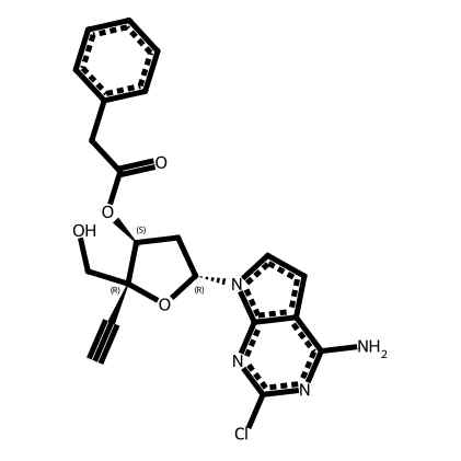 C#C[C@]1(CO)O[C@@H](n2ccc3c(N)nc(Cl)nc32)C[C@@H]1OC(=O)Cc1ccccc1